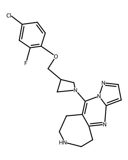 Fc1cc(Cl)ccc1OCC1CN(c2c3c(nc4ccnn24)CCNCC3)C1